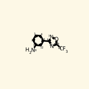 Nc1cccc(-c2noc(C(F)(F)F)n2)c1